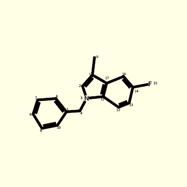 Cc1cn(Cc2ccccc2)c2ccc(F)cc12